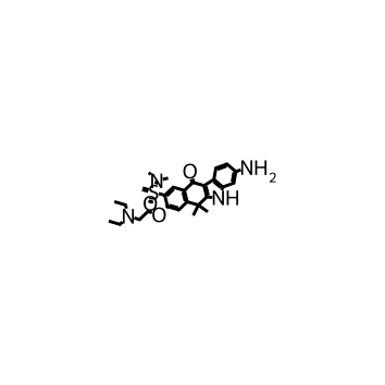 C=S(=O)(c1cc2c(cc1OCCN(CC)CC)C(C)(C)c1[nH]c3cc(N)ccc3c1C2=O)N(C)C